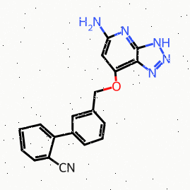 N#Cc1ccccc1-c1cccc(COc2cc(N)nc3[nH]nnc23)c1